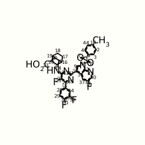 Cc1ccc(S(=O)(=O)n2cc(-c3nc(NC4C5CCC(CC5)C4C(=O)O)c(F)c(-c4ccc(F)c(F)c4)n3)c3cc(F)cnc32)cc1